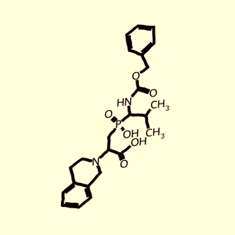 CC(C)C(NC(=O)OCc1ccccc1)P(=O)(O)CC(C(=O)O)N1CCc2ccccc2C1